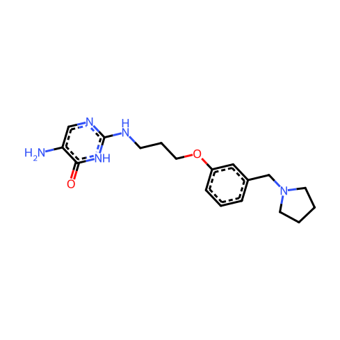 Nc1cnc(NCCCOc2cccc(CN3CCCC3)c2)[nH]c1=O